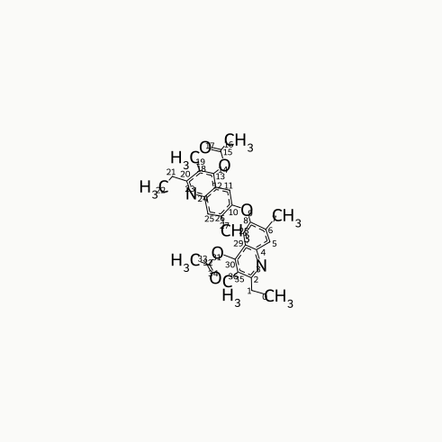 CCc1nc2cc(C)c(Oc3cc4c(OC(C)=O)c(C)c(CC)nc4cc3C)cc2c(OC(C)=O)c1C